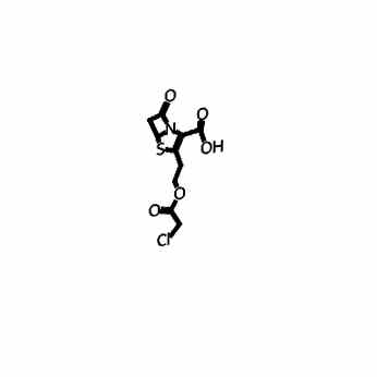 O=C(CCl)OCCC1=C(C(=O)O)N2C(=O)CC2S1